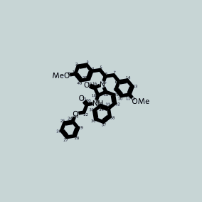 COc1ccc(CC(Cc2ccc(OC)cc2)N2C(=O)C(NC(=O)COc3ccccc3)C2C=Cc2ccccc2)cc1